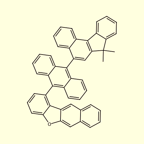 CC1(C)c2ccccc2-c2c1cc(-c1c3ccccc3c(-c3cccc4oc5cc6ccccc6cc5c34)c3ccccc13)c1ccccc21